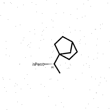 CCCCC[C@@H](C)C12CCC(CC1)C2